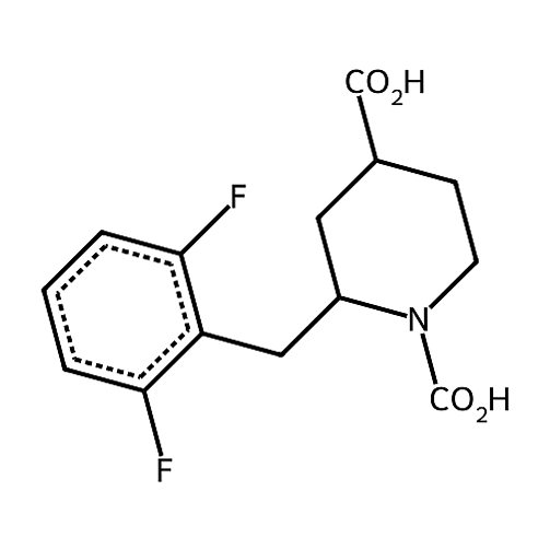 O=C(O)C1CCN(C(=O)O)C(Cc2c(F)cccc2F)C1